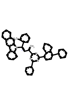 C=C(/C=C(\c1ccccc1C)n1c2ccccc2c2cc3ccccc3cc21)c1nc(-c2ccccc2)nc(-c2ccc(-c3ccccc3)c3ccccc23)n1